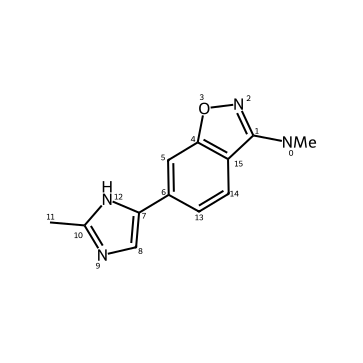 CNc1noc2cc(-c3cnc(C)[nH]3)ccc12